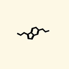 CCCC1=CC2=CC=C(CCC)C2=CC1